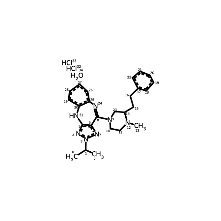 CC(C)n1nc2c(n1)C(N1CCN(C)C(CCc3ccccc3)C1)=Nc1ccccc1N2.Cl.Cl.O